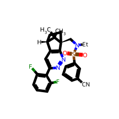 CCN(C[C@@]12CC[C@@H](c3cc(-c4c(F)cccc4F)nnc31)C2(C)C)S(=O)(=O)c1cccc(C#N)c1